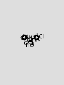 OCc1c(-c2ccc(Cl)cc2)nn(-c2ccccc2)c1Cl